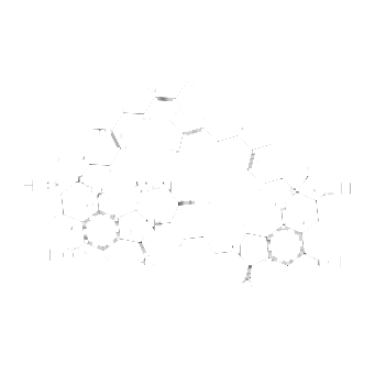 CNC(=O)[C@H](CCCN1Cc2c(cc(O)c3c2O[C@](C)(CC/C=C(\C)CCC=C(C)C)[C@@H](O)C3)C1=O)N1Cc2c(cc(O)c3c2O[C@](C)(CC/C=C(\C)CCC=C(C)C)[C@@H](O)C3)C1=O